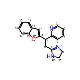 c1ccc(C(CC2=NCCN2)c2cc3ccccc3o2)nc1